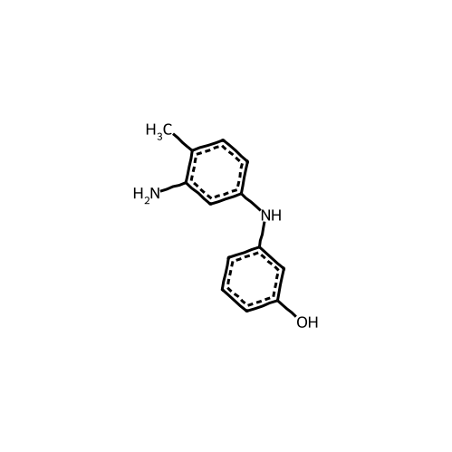 Cc1ccc(Nc2cccc(O)c2)cc1N